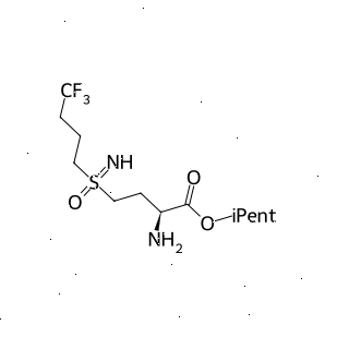 CCCC(C)OC(=O)[C@@H](N)CCS(=N)(=O)CCCC(F)(F)F